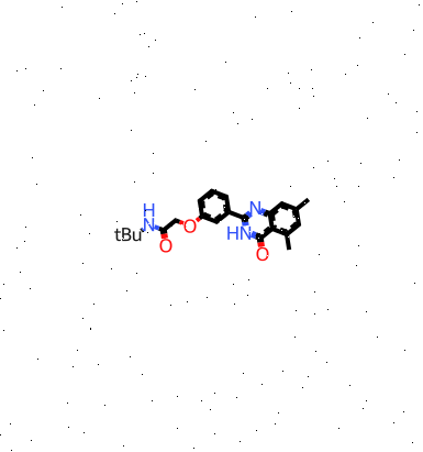 Cc1cc(C)c2c(=O)[nH]c(-c3cccc(OCC(=O)NC(C)(C)C)c3)nc2c1